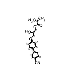 C=C(C)C(=O)OCC(O)COc1ccc(-c2ccc(C#N)cc2)cc1